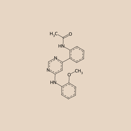 COc1ccccc1Nc1cc(-c2ccccc2NC(C)=O)ncn1